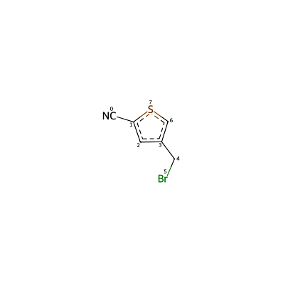 N#Cc1cc(CBr)cs1